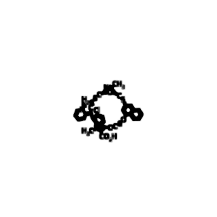 Cn1nc2cc1CSc1cc(c3ccccc3c1)OCCCc1c(C(=O)O)n(C)c3c(c(Cl)ccc13)/C(=C1\C=CC=CN1N)CCSC2